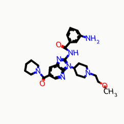 COCCN1CCC(n2c(NC(=O)c3cccc(N)c3)nc3cc(C(=O)N4CCCCC4)cnc32)CC1